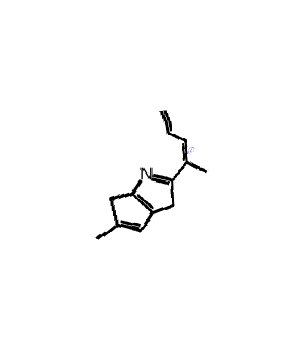 C=C/C=C(/C)C1=NC2=C(C=C(C)C2)C1